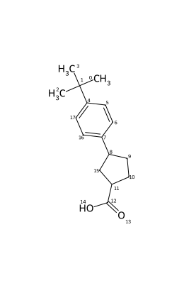 CC(C)(C)c1ccc(C2CCC(C(=O)O)C2)cc1